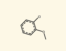 COc1c[c]ccc1Cl